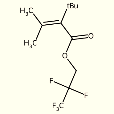 CC(C)=C(C(=O)OCC(F)(F)C(F)(F)F)C(C)(C)C